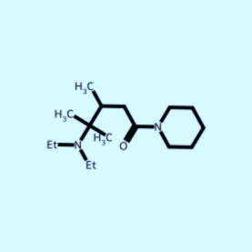 CCN(CC)C(C)(C)C(C)CC(=O)N1CCCCC1